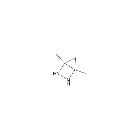 CC12CC1(C)NN2